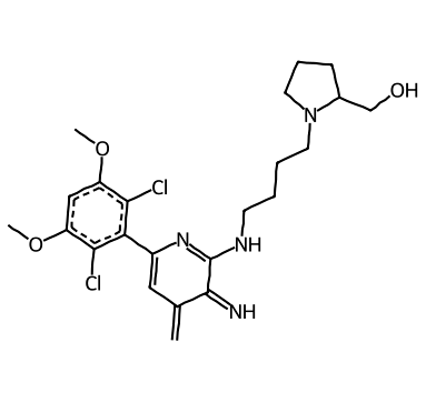 C=C1C=C(c2c(Cl)c(OC)cc(OC)c2Cl)N=C(NCCCCN2CCCC2CO)C1=N